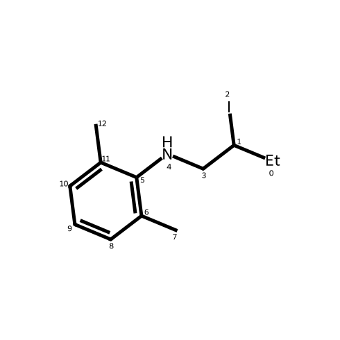 CCC(I)CNc1c(C)cccc1C